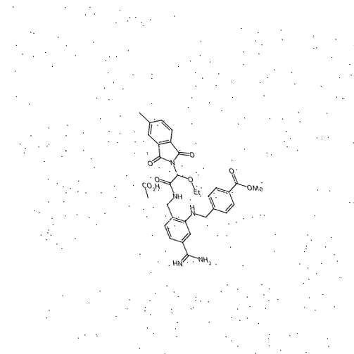 CC(=O)O.CCOC(C(=O)NCc1ccc(C(=N)N)cc1NCc1ccc(C(=O)OC)cc1)N1C(=O)c2ccc(C)cc2C1=O